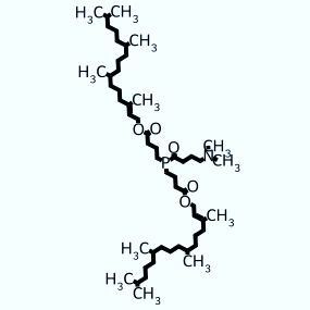 C/C(=C\COC(=O)CCCP(CCCC(=O)OC/C=C(\C)CCCC(C)CCCC(C)CCCC(C)C)C(=O)CCCN(C)C)CCCC(C)CCCC(C)CCCC(C)C